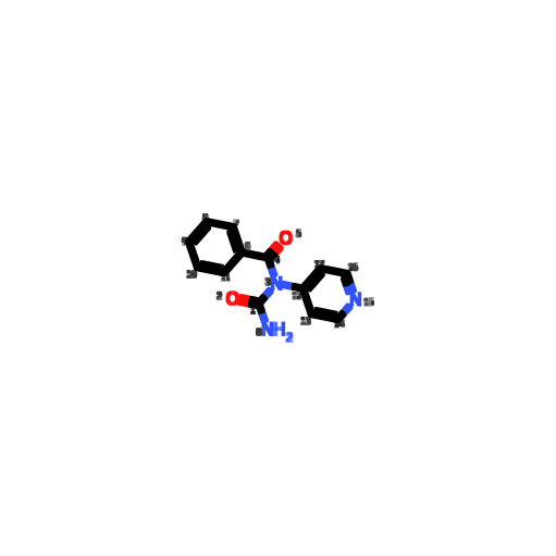 NC(=O)N(C(=O)c1ccccc1)c1ccncc1